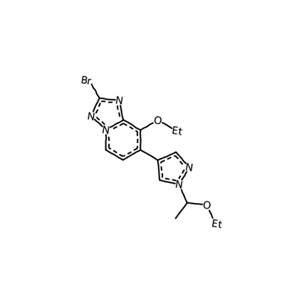 CCOc1c(-c2cnn(C(C)OCC)c2)ccn2nc(Br)nc12